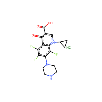 Cl.O=C(O)c1cn(C2CC2)c2c(F)c(N3CCNCC3)c(F)c(F)c2c1=O